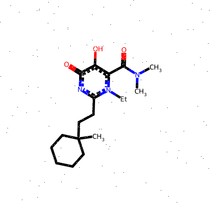 CCn1c(CCC2(C)CCCCC2)nc(=O)c(O)c1C(=O)N(C)C